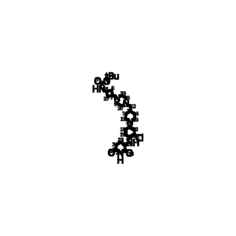 CC(C)(C)OC(=O)NC1CC(N2CCN(CC3CCN(c4ccc(NC5CCC(=O)NC5=O)c(Cl)c4)CC3)CC2)C1